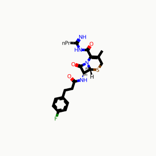 CCCC(=N)NC(=O)C1=C(C)CS[C@@H]2[C@H](NC(=O)CCc3ccc(F)cc3)C(=O)N12